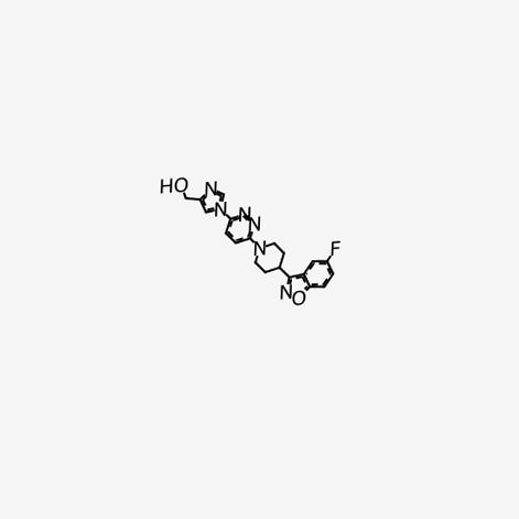 OCc1cn(-c2ccc(N3CCC(c4noc5ccc(F)cc45)CC3)nn2)cn1